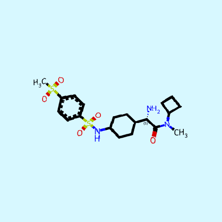 CN(C(=O)[C@@H](N)C1CCC(NS(=O)(=O)c2ccc(S(C)(=O)=O)cc2)CC1)C1CCC1